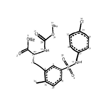 COC(=O)[C@@H](Cc1cc(S(=O)(=O)Nc2ccc(Cl)cc2)ccc1C)NC(=O)OC(C)(C)C